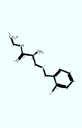 N[C@@H](CSCc1ccccc1I)C(=O)NCC(=O)O